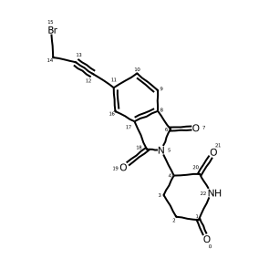 O=C1CCC(N2C(=O)c3ccc(C#CCBr)cc3C2=O)C(=O)N1